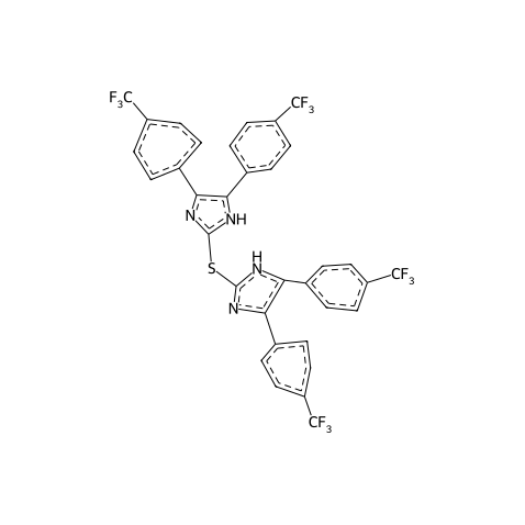 FC(F)(F)c1ccc(-c2nc(Sc3nc(-c4ccc(C(F)(F)F)cc4)c(-c4ccc(C(F)(F)F)cc4)[nH]3)[nH]c2-c2ccc(C(F)(F)F)cc2)cc1